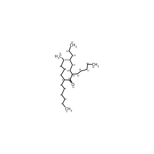 CCCCCCC(CCCCC)C(=O)C(CCCCC)CCCCCC